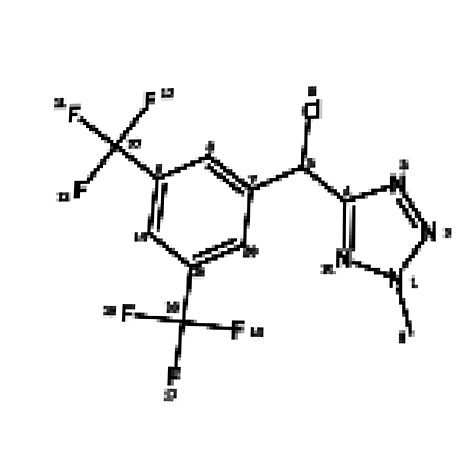 Cn1nnc(C(Cl)c2cc(C(F)(F)F)cc(C(F)(F)F)c2)n1